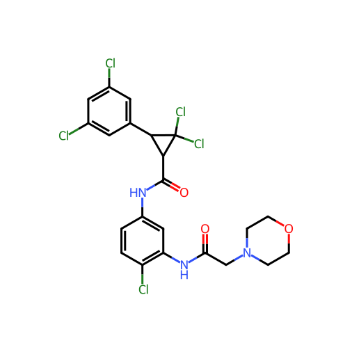 O=C(CN1CCOCC1)Nc1cc(NC(=O)C2C(c3cc(Cl)cc(Cl)c3)C2(Cl)Cl)ccc1Cl